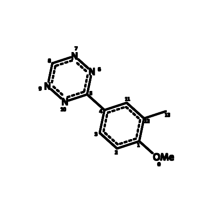 COc1ccc(-c2nncnn2)cc1C